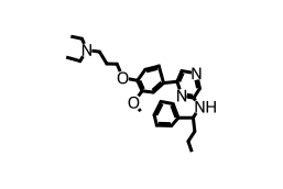 CCCC(Nc1cncc(-c2ccc(OCCCN(CC)CC)c(OC)c2)n1)c1ccccc1